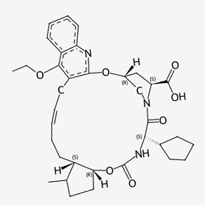 CCOc1c2c(nc3ccccc13)O[C@@H]1C[C@@H](C(=O)O)N(C1)C(=O)[C@H](C1CCCC1)NC(=O)O[C@@H]1CCC(C)[C@@H]1CCC=CC2